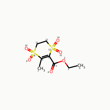 CCOC(=O)C1=C(C)S(=O)(=O)CCS1(=O)=O